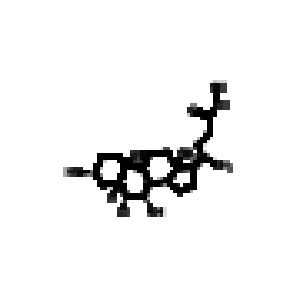 CC[C@H]1[C@@H](O)C2C3CCC(C(C)CCC(=O)NO)[C@@]3(C)CCC2[C@@]2(C)CC[C@@H](O)C[C@@H]12